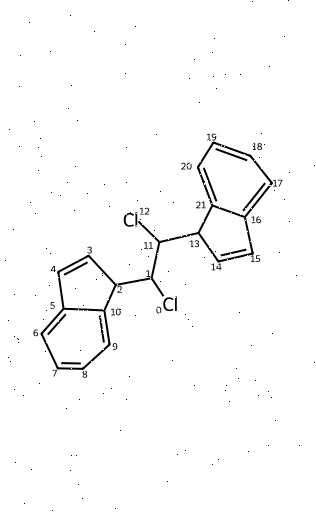 ClC(C1C=Cc2ccccc21)C(Cl)C1C=Cc2ccccc21